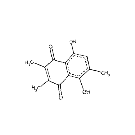 CC1=C(C)C(=O)c2c(O)c(C)cc(O)c2C1=O